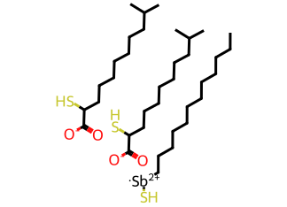 CC(C)CCCCCCCC(S)C(=O)[O-].CC(C)CCCCCCCC(S)C(=O)[O-].CCCCCCCCCCC[CH2][Sb+2][SH]